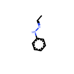 CC=NNc1ccccc1